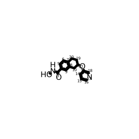 O=C(NO)c1ccc2c(c1)CC(Oc1cccnc1)CC2